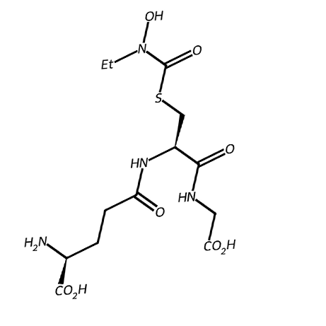 CCN(O)C(=O)SC[C@H](NC(=O)CC[C@H](N)C(=O)O)C(=O)NCC(=O)O